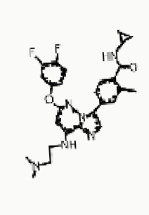 Cc1cc(-c2cnc3c(NCCN(C)C)cc(Oc4ccc(F)c(F)c4)nn23)ccc1C(=O)NC1CC1